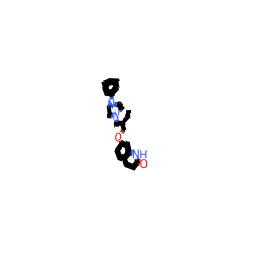 CCC(COc1ccc2c(c1)NC(=O)CC2)CN1CCN(c2ccccc2)CC1